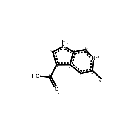 Cc1cc2c(C(=O)O)c[nH]c2cn1